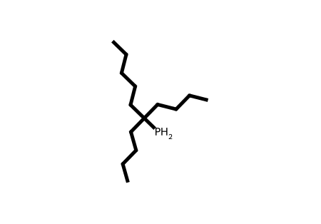 CCCCCC(P)(CCCC)CCCC